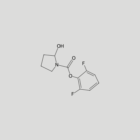 O=C(Oc1c(F)cccc1F)N1CCCC1O